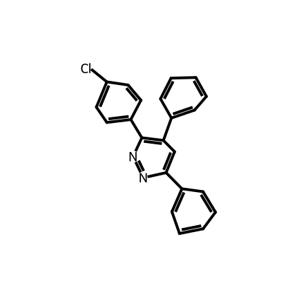 Clc1ccc(-c2nnc(-c3ccccc3)cc2-c2ccccc2)cc1